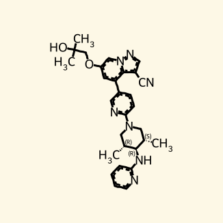 C[C@@H]1CN(c2ccc(-c3cc(OCC(C)(C)O)cn4ncc(C#N)c34)cn2)C[C@H](C)[C@H]1Nc1ccccn1